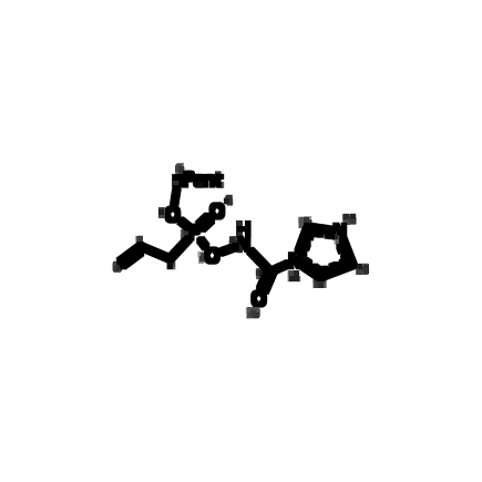 C=CCP(=O)(OCCCCC)ONC(=O)n1ccnc1